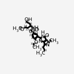 CCCc1nn(C)c2c(=O)[nH]c(-c3cc(S(=O)(=O)NC(CCO)CCOC)ccc3OCC)nc12